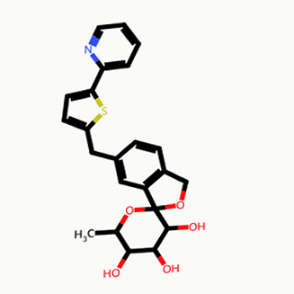 CC1OC2(OCc3ccc(Cc4ccc(-c5ccccn5)s4)cc32)C(O)C(O)C1O